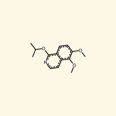 COc1ccc2c(OC(C)C)nccc2c1OC